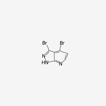 Brc1ccnc2[nH]nc(Br)c12